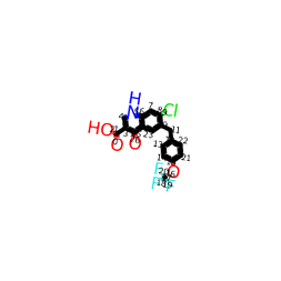 O=C(O)c1c[nH]c2cc(Cl)c(Cc3ccc(OC(F)(F)F)cc3)cc2c1=O